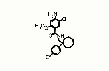 COc1cc(N)c(Cl)cc1C(=O)NCC1(c2ccc(Cl)cc2)CCCCCC1